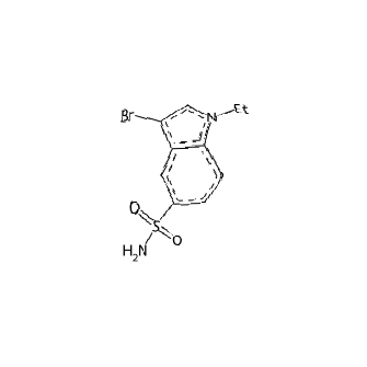 CCn1cc(Br)c2cc(S(N)(=O)=O)ccc21